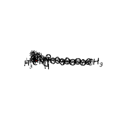 CCCCc1nc(Cl)c(CNC(=O)CCOCCOCCOCCOCCOCCOCCOCCOC)n1Cc1ccc(-c2ccccc2-c2nn[nH]n2)cc1